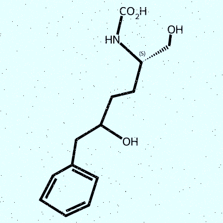 O=C(O)N[C@H](CO)CCC(O)Cc1ccccc1